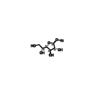 CCO[C@@H]1O[C@@H]([C@H](O)CO)[C@H](O)[C@H]1O